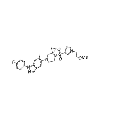 COCCn1ccc(S(=O)(=O)N2CCN(c3cc4cnn(-c5ccc(F)cc5)c4cc3C)CC23CC3)c1